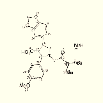 CCCCN(CCCC)C(=O)CN1CC(c2ccc3c(c2)OCO3)C(C(=O)O)C1c1ccc(OC)cc1.[NaH]